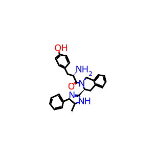 CC1NC([C@@H]2Cc3ccccc3CN2C(=O)[C@@H](N)Cc2ccc(O)cc2)=NC1c1ccccc1